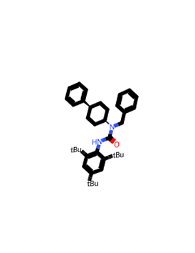 CC(C)(C)c1cc(C(C)(C)C)c(NC(=O)N(Cc2ccccc2)[C@H]2CC[C@H](c3ccccc3)CC2)c(C(C)(C)C)c1